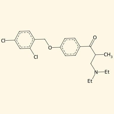 CCN(CC)CC(C)C(=O)c1ccc(OCc2ccc(Cl)cc2Cl)cc1